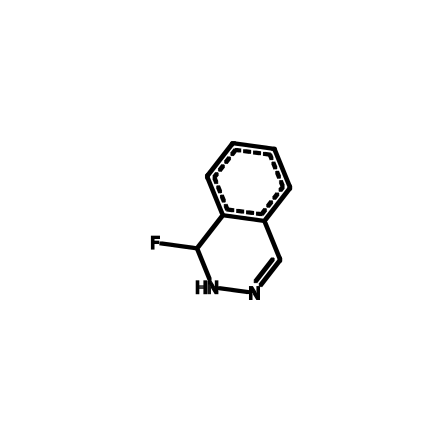 FC1NN=Cc2ccccc21